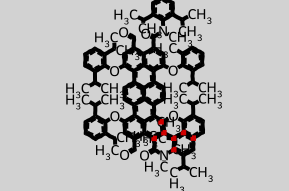 Cc1cccc(C(C)C)c1Oc1cc(C(=O)N(C)c2c(C(C)C)cccc2C(C)C)c2c(C=O)cc(Oc3c(C(C)C)cccc3C(C)C)c3c4ccc5c6c(Oc7c(C(C)C)cccc7C(C)C)cc(C=O)c7c(C(=O)N(C)c8c(C(C)C)cccc8C(C)C)cc(Oc8c(C(C)C)cccc8C(C)C)c(c8ccc(c1c23)c4c58)c76